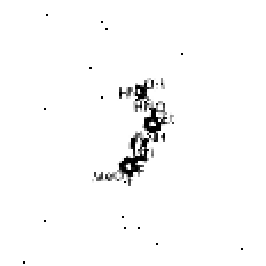 CCc1cc(Nc2nccn3c(-c4ccc(OC)c(F)c4F)cnc23)ccc1C(=O)NC[C@@H]1CNC[C@@H]1O